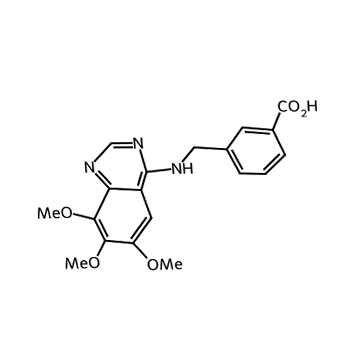 COc1cc2c(NCc3cccc(C(=O)O)c3)ncnc2c(OC)c1OC